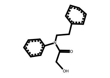 O=C(CO)N(CCc1ccccc1)c1ccccc1